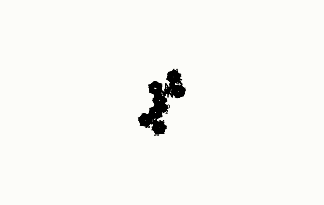 CC1(C)c2cc3c(cc2-c2cc4c5ccccc5n(-c5ccccc5)c4cc21)c1c(n3-c2nc3c4c(cccc4n2)Sc2ccccc2-3)C=CCC1